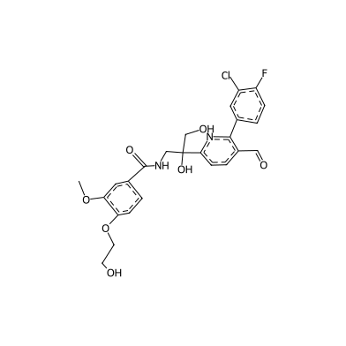 COc1cc(C(=O)NCC(O)(CO)c2ccc(C=O)c(-c3ccc(F)c(Cl)c3)n2)ccc1OCCO